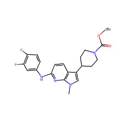 Cn1cc(C2CCN(C(=O)OC(C)(C)C)CC2)c2ccc(Nc3ccc(F)c(F)c3)nc21